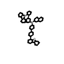 c1cc(-c2ccccc2-n2c3ccccc3c3ccccc32)cc(N(c2ccc(-c3ccc(-c4cccc5c4oc4ccccc45)cc3)cc2)c2ccc3ccccc3c2)c1